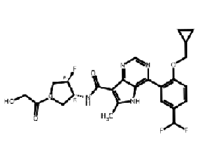 Cc1[nH]c2c(-c3cc(C(F)F)ccc3OCC3CC3)ncnc2c1C(=O)N[C@@H]1CN(C(=O)CO)C[C@H]1F